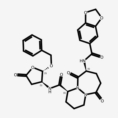 O=C1C[C@H](NC(=O)[C@@H]2CCCN3C(=O)CC[C@H](NC(=O)c4ccc5c(c4)OCO5)C(=O)N23)[C@@H](OCc2ccccc2)O1